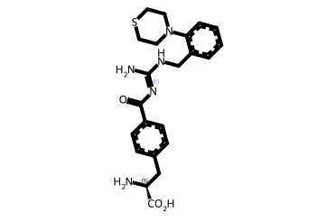 N/C(=N\C(=O)c1ccc(C[C@H](N)C(=O)O)cc1)NCc1ccccc1N1CCSCC1